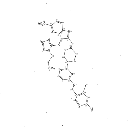 COCCn1cnnc1Cn1c(CN2CCC(c3cccc(OCc4ccc(Cl)cc4F)n3)CC2)nc2ccc(C(=O)O)cc21